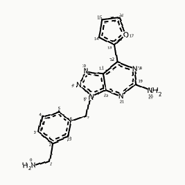 NCc1cccc(Cn2nnc3c(-c4ccco4)nc(N)nc32)c1